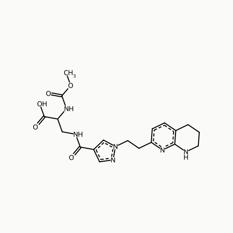 COC(=O)NC(CNC(=O)c1cnn(CCc2ccc3c(n2)NCCC3)c1)C(=O)O